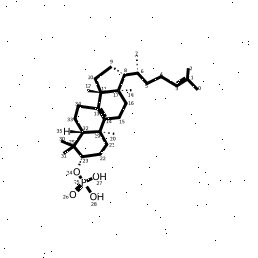 CC(C)=CCC[C@@H](C)[C@H]1CC[C@@]2(C)C3=C(CC[C@]12C)[C@@]1(C)CC[C@H](OP(=O)(O)O)C(C)(C)[C@@H]1CC3